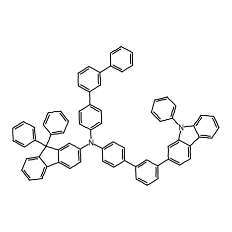 c1ccc(-c2cccc(-c3ccc(N(c4ccc(-c5cccc(-c6ccc7c8ccccc8n(-c8ccccc8)c7c6)c5)cc4)c4ccc5c(c4)C(c4ccccc4)(c4ccccc4)c4ccccc4-5)cc3)c2)cc1